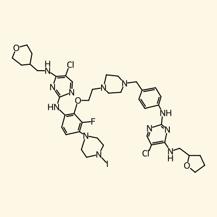 Fc1c(N2CCN(I)CC2)ccc(Nc2ncc(Cl)c(NCC3CCOCC3)n2)c1OCCN1CCN(Cc2ccc(Nc3ncc(Cl)c(NCC4CCCO4)n3)cc2)CC1